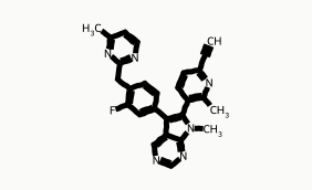 C#Cc1ccc(-c2c(-c3ccc(Cc4nccc(C)n4)c(F)c3)c3cncnc3n2C)c(C)n1